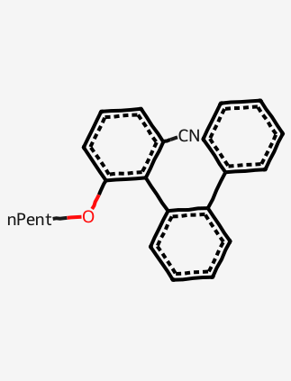 CCCCCOc1cccc(C#N)c1-c1ccccc1-c1ccccc1